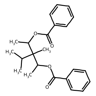 CC(C)C(C)(C(C)OC(=O)c1ccccc1)C(C)OC(=O)c1ccccc1